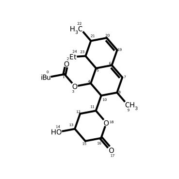 CCC(C)C(=O)OC1C2C(=CC(C)C1C1CC(O)CC(=O)O1)C=CC(C)C2CC